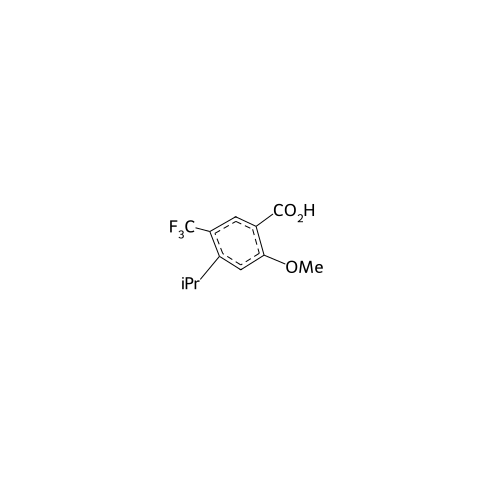 COc1cc(C(C)C)c(C(F)(F)F)cc1C(=O)O